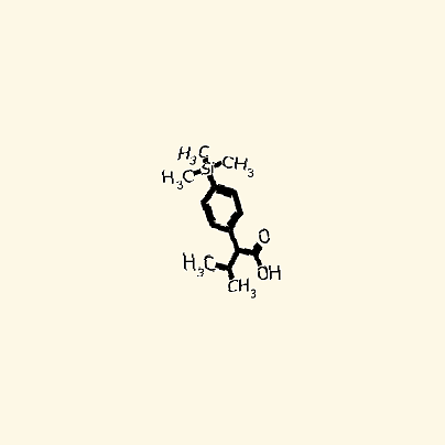 CC(C)C(C(=O)O)c1ccc([Si](C)(C)C)cc1